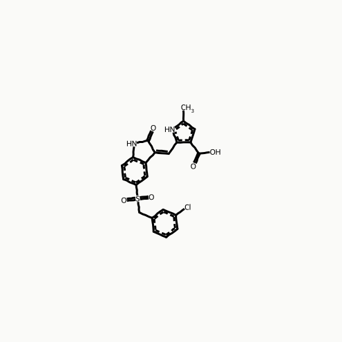 Cc1cc(C(=O)O)c(/C=C2\C(=O)Nc3ccc(S(=O)(=O)Cc4cccc(Cl)c4)cc32)[nH]1